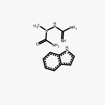 CN(NC(=N)N)C(N)=O.c1ccc2[nH]ccc2c1